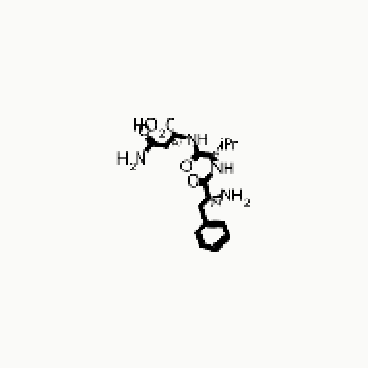 CC(C)[C@H](NC(=O)[C@@H](N)Cc1ccccc1)C(=O)N[C@@H](CC(N)=O)C(=O)O